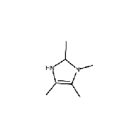 CC1=C(C)N(C)C(I)N1